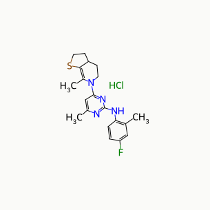 CC1=C2SCCC2CCN1c1cc(C)nc(Nc2ccc(F)cc2C)n1.Cl